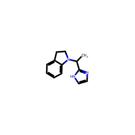 CC(c1ncc[nH]1)N1CCc2ccccc21